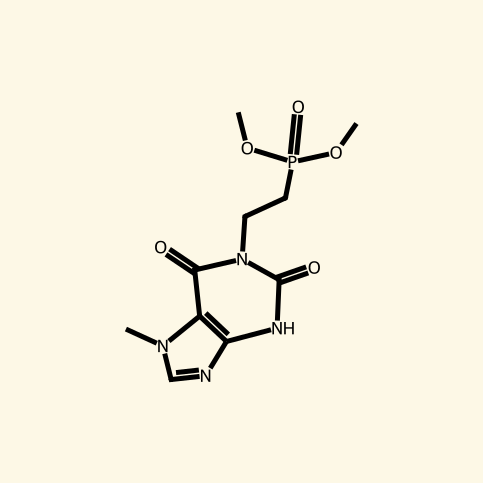 COP(=O)(CCn1c(=O)[nH]c2ncn(C)c2c1=O)OC